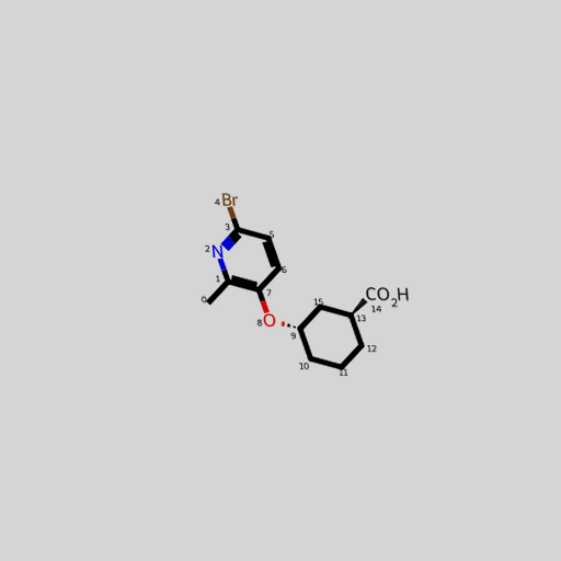 Cc1nc(Br)ccc1O[C@H]1CCC[C@H](C(=O)O)C1